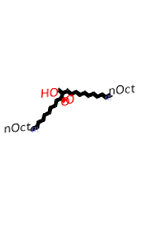 CCCCCCCC/C=C\CCCCCCCC(=O)[CH]C(CO)C(=O)CCCCCCC/C=C\CCCCCCCC